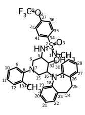 CN=S(=O)(NC1CN(c2ccccc2C)CC(N2c3ccccc3CCc3ccccc32)C1O)c1ccc(OC(F)(F)F)cc1